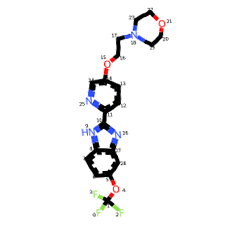 FC(F)(F)Oc1ccc2[nH]c(-c3ccc(OCCN4CCOCC4)cn3)nc2c1